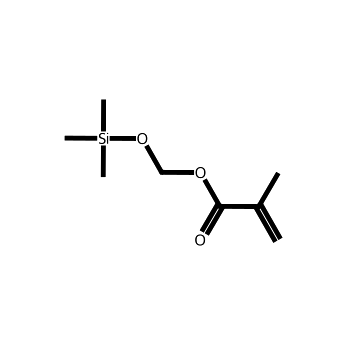 C=C(C)C(=O)OCO[Si](C)(C)C